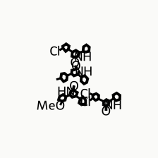 COc1cccc(-c2cc(-c3ccccc3)cc(=O)[nH]2)c1.Cc1ccc(-c2cc(-c3ccccc3)[nH]c(=O)c2)cc1.O=c1cc(-c2ccc(Cl)c(Cl)c2)cc(-c2ccccc2)[nH]1.O=c1cc(-c2cccc(Cl)c2)cc(-c2ccccc2)[nH]1